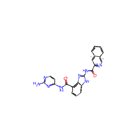 C=C(/C=c1/cccc/c1=C/N)C(=O)Nc1nc2c(C(=O)Nc3ccnc(N)n3)cccc2[nH]1